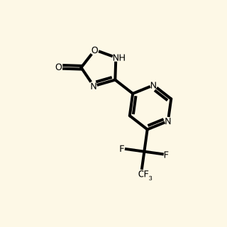 O=c1nc(-c2cc(C(F)(F)C(F)(F)F)ncn2)[nH]o1